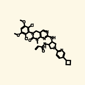 C=CC(=O)NC1CN(c2ccc(C3CCC3)cn2)CC1Nc1ncc2c(n1)N(C)C(=O)N(c1c(Cl)c(OC)cc(OC)c1Cl)C2